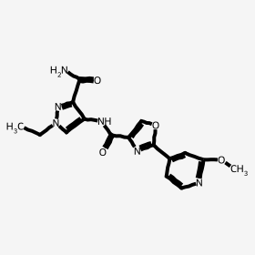 CCn1cc(NC(=O)c2coc(-c3ccnc(OC)c3)n2)c(C(N)=O)n1